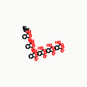 O=C([O-])c1ccccc1C(=O)O.O=C([O-])c1ccccc1C(=O)O.O=C([O-])c1ccccc1C(=O)O.O=C([O-])c1ccccc1C(=O)O.O=C([O-])c1ccccc1C(=O)O.O=C([O-])c1ccccc1C(=O)O.[C+4].[K+].[Na+]